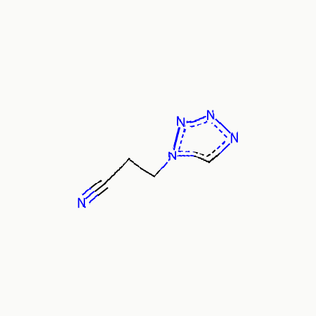 N#CCCn1cnnn1